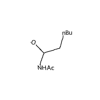 CCCCCC([O])NC(C)=O